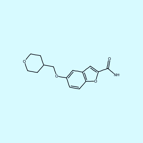 [NH]C(=O)c1cc2cc(OCC3CCOCC3)ccc2o1